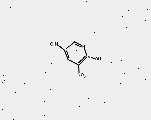 O=[N+]([O-])c1cnc(O)c([N+](=O)[O-])c1